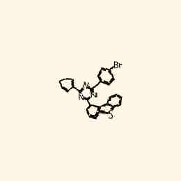 Brc1ccc(-c2nc(C3=CCCC=C3)nc(-c3cccc4sc5ccccc5c34)n2)cc1